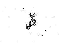 CCN[C@H](CNC(=O)N1CCC[C@@H](OCCNC(=O)OC)C1)C[C@H]1CCCOC1